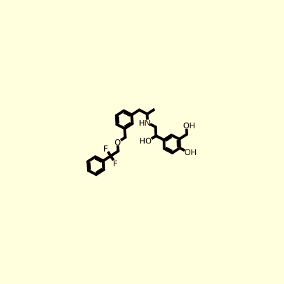 CC(Cc1cccc(COCC(F)(F)c2ccccc2)c1)NCC(O)c1ccc(O)c(CO)c1